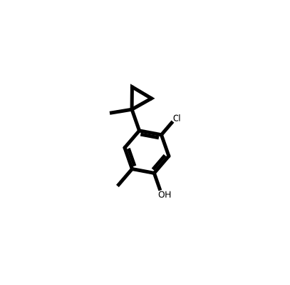 Cc1cc(C2(C)CC2)c(Cl)cc1O